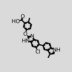 Cc1ccc(Oc2nc3cc(-c4ccc5[nH]cc(C)c5c4)c(Cl)cc3[nH]2)cc1C(=O)O